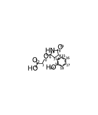 CCC(=O)O.O=C1CCC(=O)N1.Oc1ccccc1